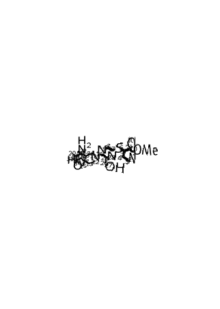 COc1nccc(Sc2cnc(N3CCC45CO[C@H](C4)[C@@H](C)[C@H](N)C5C3)c(CO)n2)c1Cl